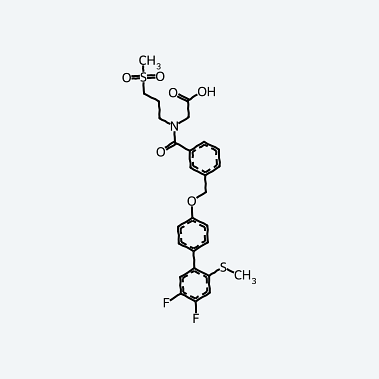 CSc1cc(F)c(F)cc1-c1ccc(OCc2cccc(C(=O)N(CCCS(C)(=O)=O)CC(=O)O)c2)cc1